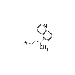 CC(C)CCC(C)c1cccc2ncccc12